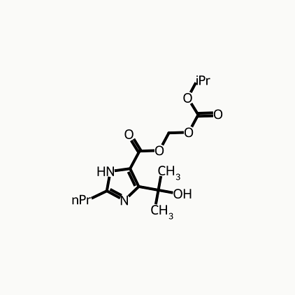 CCCc1nc(C(C)(C)O)c(C(=O)OCOC(=O)OC(C)C)[nH]1